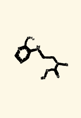 CCN(CCNc1cncnc1N)C(=O)OC(C)(C)C